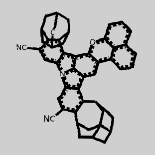 N#Cc1cc2c(c3c1C1CC4CC5CC3CC45C1)c1cc3c4cccc5cccc(oc3c3c6c7c(c(C#N)cc6n2c13)C1CC2CC(C1)CC7C2)c54